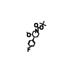 CO[C@@H]1CN(C(=O)OC(C)(C)C)CC[C@H]1c1ccc(F)cc1